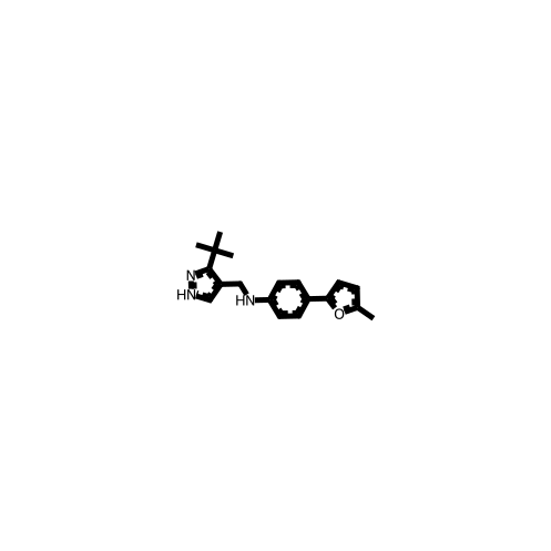 Cc1ccc(-c2ccc(NCc3c[nH]nc3C(C)(C)C)cc2)o1